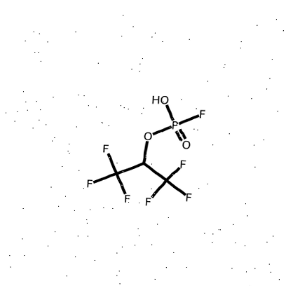 O=P(O)(F)OC(C(F)(F)F)C(F)(F)F